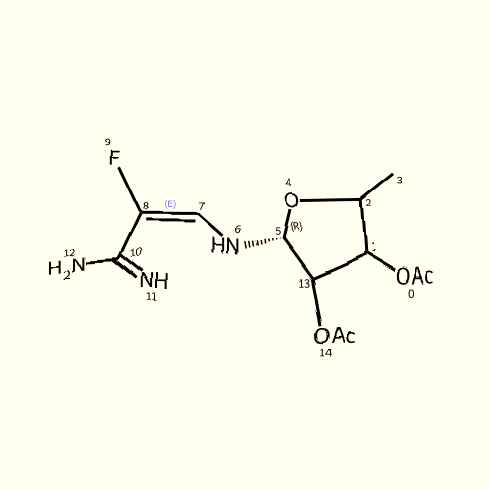 CC(=O)OC1C(C)O[C@@H](N/C=C(/F)C(=N)N)C1OC(C)=O